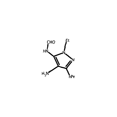 CCCc1nn(CC)c(NC=O)c1N